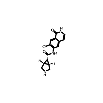 O=C(Nc1cc2cc[nH]c(=O)c2cc1Cl)[C@@H]1[C@@H]2CNC[C@@H]21